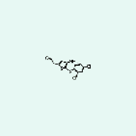 Nc1cc(CC=O)sc1Sc1ccc(Cl)cc1Cl